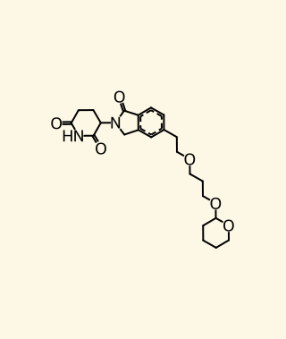 O=C1CCC(N2Cc3cc(CCOCCCOC4CCCCO4)ccc3C2=O)C(=O)N1